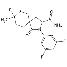 CC1(F)[CH]CC2(CC1)CC(C(N)=O)N(c1cc(F)cc(F)c1)C2=O